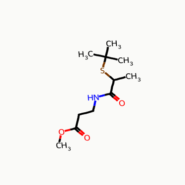 COC(=O)CCNC(=O)C(C)SC(C)(C)C